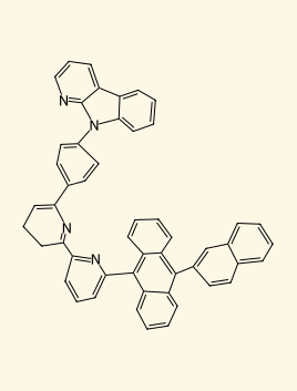 C1=C(c2ccc(-n3c4ccccc4c4cccnc43)cc2)N=C(c2cccc(-c3c4ccccc4c(-c4ccc5ccccc5c4)c4ccccc34)n2)CC1